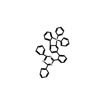 c1ccc(-c2nc(-c3ccccc3)nc(-c3ccccc3-c3ccc4c(c3)S(c3ccccc3)(c3ccccc3)c3ccccc3-4)n2)cc1